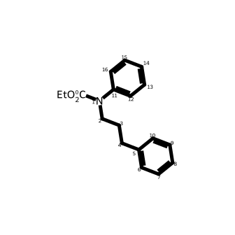 CCOC(=O)N(CCCc1ccccc1)c1ccccc1